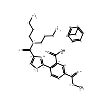 CCCCN(CCCC)C(=O)c1c[nH]c(-c2ccc(C(=O)OC)cc2C(=O)O)n1.c1cc2cc(c1)C2